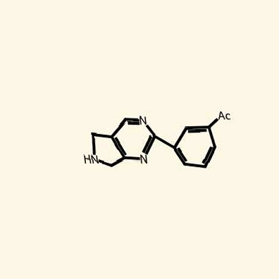 CC(=O)c1cccc(-c2ncc3c(n2)CNC3)c1